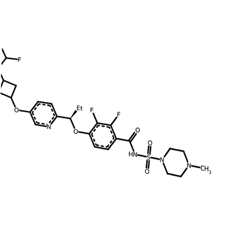 CC[C@@H](Oc1ccc(C(=O)NS(=O)(=O)N2CCN(C)CC2)c(F)c1F)c1ccc(OC2CC(OC(F)F)C2)cn1